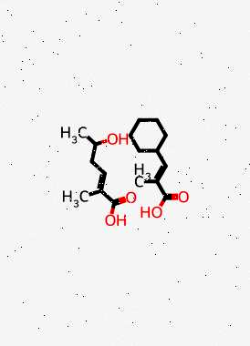 C/C(=C\C1CCCCC1)C(=O)O.C/C(=C\CC(C)O)C(=O)O